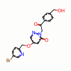 O=C(Cn1ncc(OCc2ccc(Br)cn2)cc1=O)c1ccc(CO)cc1